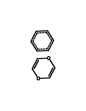 C1=COC=CO1.c1ccccc1